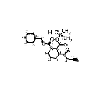 CC(C)(C)OC(=O)C1C(C(=O)CC#N)CCCN1C(=O)OCc1ccccc1